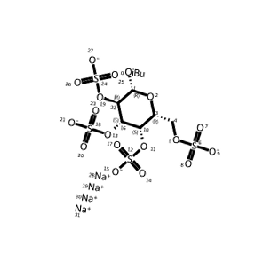 CC(C)CO[C@@H]1O[C@H](COS(=O)(=O)[O-])[C@H](OS(=O)(=O)[O-])[C@H](OS(=O)(=O)[O-])[C@H]1OS(=O)(=O)[O-].[Na+].[Na+].[Na+].[Na+]